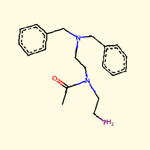 CC(=O)N(CCP)CCN(Cc1ccccc1)Cc1ccccc1